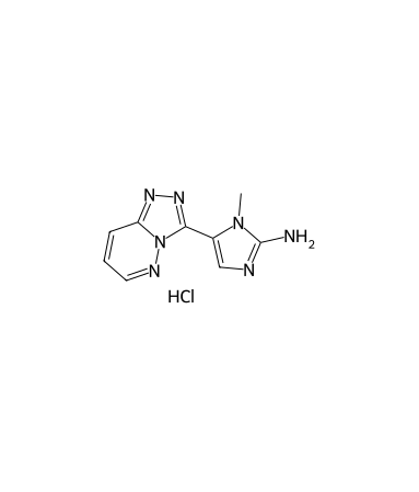 Cl.Cn1c(-c2nnc3cccnn23)cnc1N